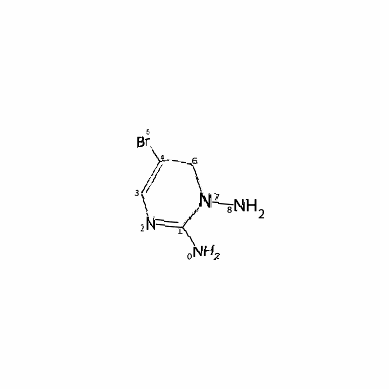 NC1=NC=C(Br)CN1N